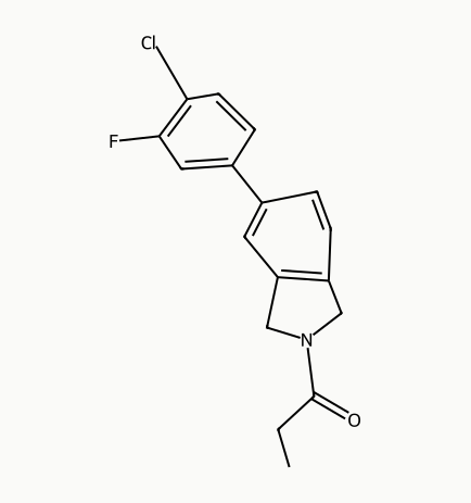 CCC(=O)N1Cc2ccc(-c3ccc(Cl)c(F)c3)cc2C1